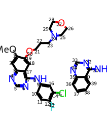 COc1cc2ncnc(Nc3ccc(F)c(Cl)c3)c2cc1OCCCN1CCOCC1.Nc1ncnc2ccccc12